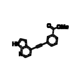 COC(=O)c1cccc(C#Cc2ccnc3[nH]ccc23)c1